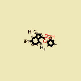 Cc1cc(C(=O)Oc2ccccc2O)c2c(C)ccc(C(C)C)cc1-2